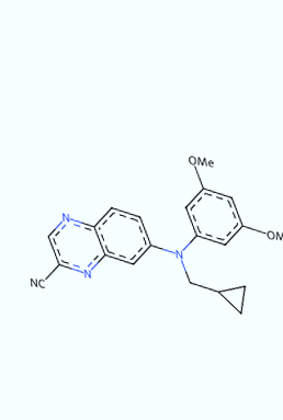 COc1cc(OC)cc(N(CC2CC2)c2ccc3ncc(C#N)nc3c2)c1